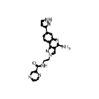 Nc1nc2cc(-c3cc[nH]n3)ccc2c2nn(CCNC(=O)c3cnccn3)cc12